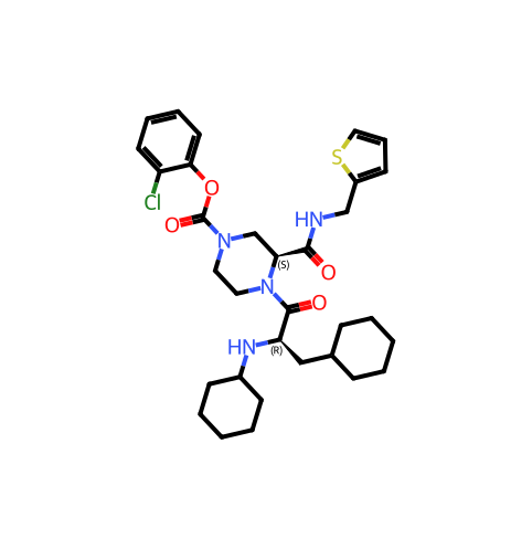 O=C(NCc1cccs1)[C@@H]1CN(C(=O)Oc2ccccc2Cl)CCN1C(=O)[C@@H](CC1CCCCC1)NC1CCCCC1